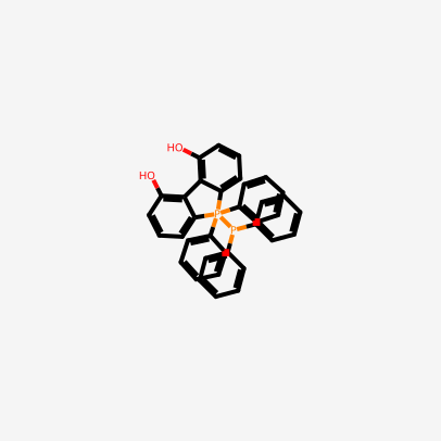 Oc1cccc2c1-c1c(O)cccc1P2(c1ccccc1)(c1ccccc1)P(c1ccccc1)c1ccccc1